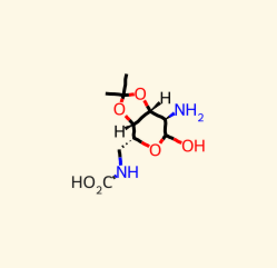 CC1(C)O[C@@H]2[C@H](O1)[C@@H](N)C(O)O[C@@H]2CNC(=O)O